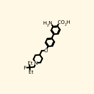 CCC(F)(CC)CN1CCC(COc2ccc(-c3ccc(C(=O)O)c(N)c3)cc2)CC1